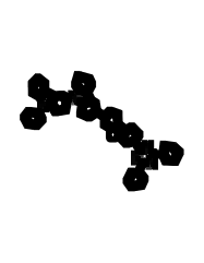 c1ccc(-c2nc(-c3ccccc3)nc(-c3ccc4c(c3)oc3cc(-c5ccc6c(c5)c5ccccc5n6-c5ccc6c(c5)c5ccccc5n6-c5ccccc5)ccc34)n2)cc1